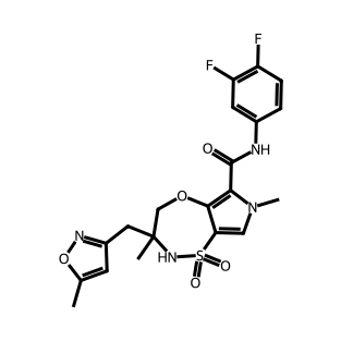 Cc1cc(CC2(C)COc3c(cn(C)c3C(=O)Nc3ccc(F)c(F)c3)S(=O)(=O)N2)no1